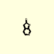 O=C1C=c2ccncc2=N1